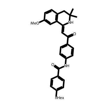 CCCCCCc1ccc(C(=O)Nc2ccc(C(=O)C=C3NC(C)(C)Cc4ccc(OC)cc43)cc2)cc1